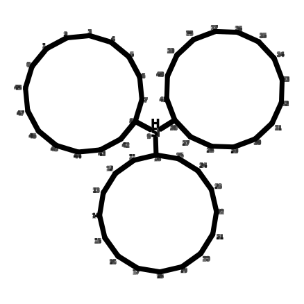 C1CCCCCCCC([SiH](C2CCCCCCCCCCCCCCC2)C2CCCCCCCCCCCCCCC2)CCCCCCC1